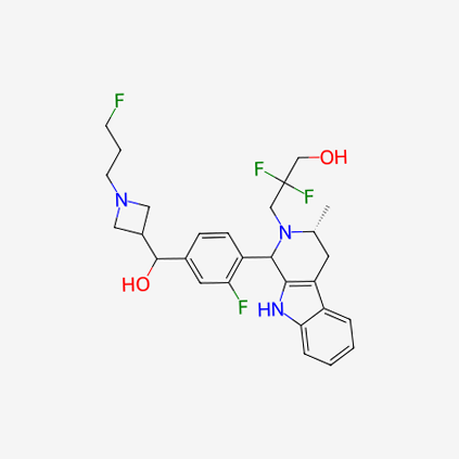 C[C@@H]1Cc2c([nH]c3ccccc23)C(c2ccc(C(O)C3CN(CCCF)C3)cc2F)N1CC(F)(F)CO